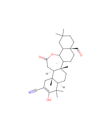 CC1(C)CC[C@]2(C=O)CC[C@]3(C)C(OC(=O)C[C@@H]4[C@@]5(C)CC(C#N)=C(O)C(C)(C)[C@@H]5CC[C@]43C)C2C1